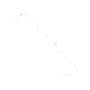 C[C@@H](CC(=O)NCCCc1c[nH]cn1)c1ccccc1